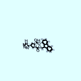 O=C(O)[C@H]1C[C@H](c2nnn[nH]2)CN1C(=O)OCC1c2ccccc2-c2ccccc21